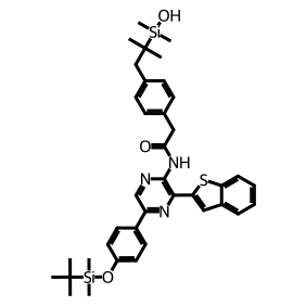 CC(C)(Cc1ccc(CC(=O)Nc2ncc(-c3ccc(O[Si](C)(C)C(C)(C)C)cc3)nc2-c2cc3ccccc3s2)cc1)[Si](C)(C)O